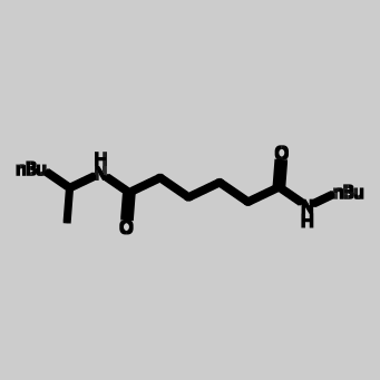 CCCCNC(=O)CCCCC(=O)NC(C)CCCC